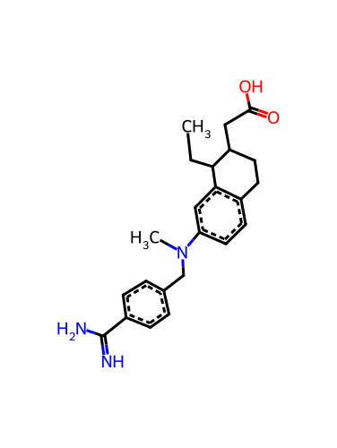 CCC1c2cc(N(C)Cc3ccc(C(=N)N)cc3)ccc2CCC1CC(=O)O